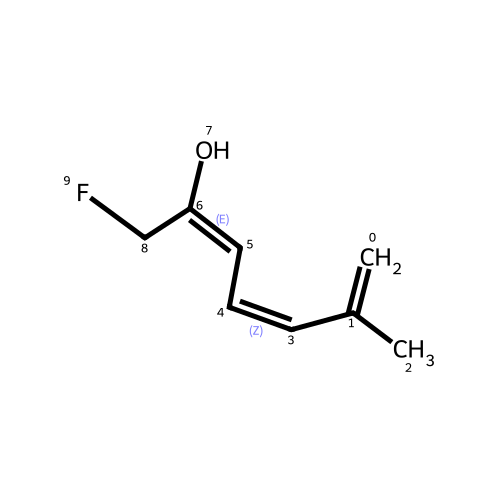 C=C(C)/C=C\C=C(\O)CF